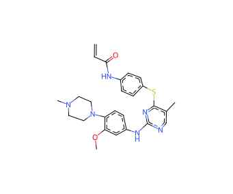 C=CC(=O)Nc1ccc(Sc2nc(Nc3ccc(N4CCN(C)CC4)c(OC)c3)ncc2C)cc1